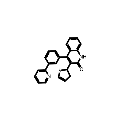 O=c1[nH]c2ccccc2c(-c2cccc(-c3ccccn3)c2)c1C1CC=CS1